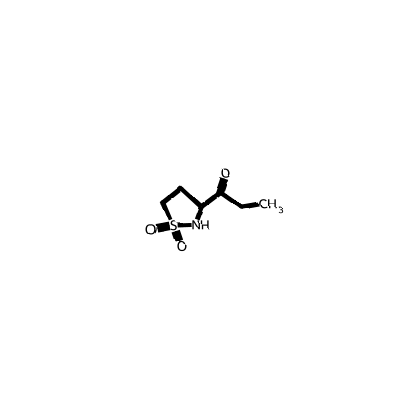 CCC(=O)C1CCS(=O)(=O)N1